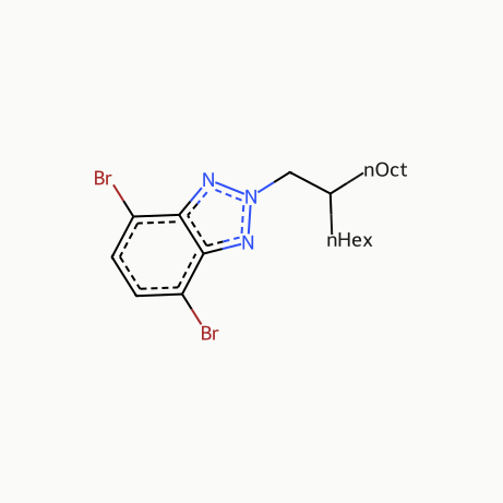 CCCCCCCCC(CCCCCC)Cn1nc2c(Br)ccc(Br)c2n1